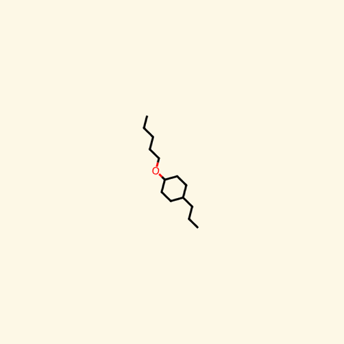 CCCCCOC1CCC(CCC)CC1